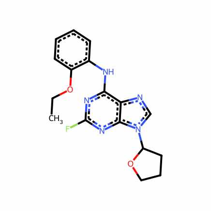 CCOc1ccccc1Nc1nc(F)nc2c1ncn2C1CCCO1